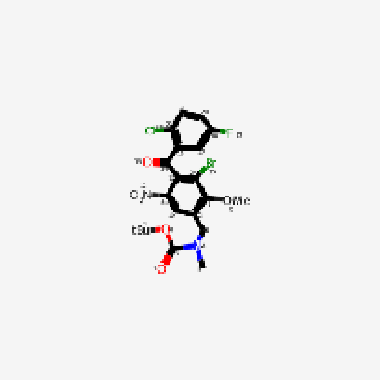 COc1c(CN(C)C(=O)OC(C)(C)C)cc([N+](=O)[O-])c(C(=O)c2cc(F)ccc2Cl)c1Br